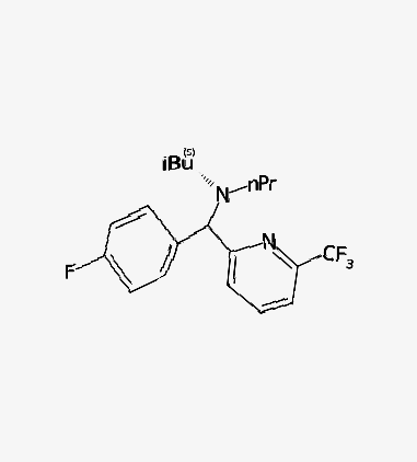 CCCN(C(c1ccc(F)cc1)c1cccc(C(F)(F)F)n1)[C@@H](C)CC